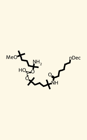 CCCCCCCCCCCCCCCC(=O)NC(C)(C)CCCC(C)(C)OP(O)OC(C)(N)CCCC(C)(C)OC